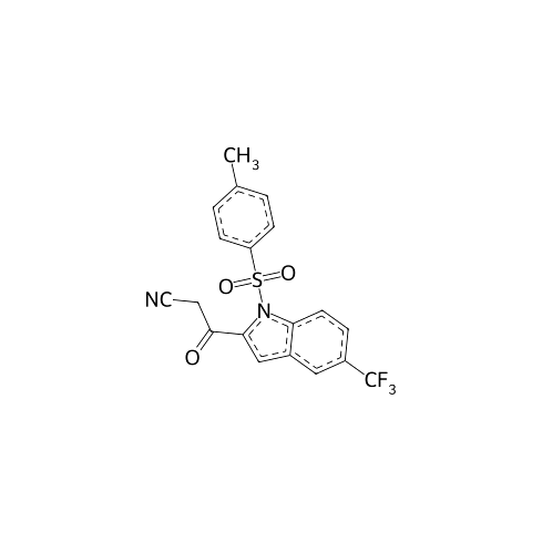 Cc1ccc(S(=O)(=O)n2c(C(=O)CC#N)cc3cc(C(F)(F)F)ccc32)cc1